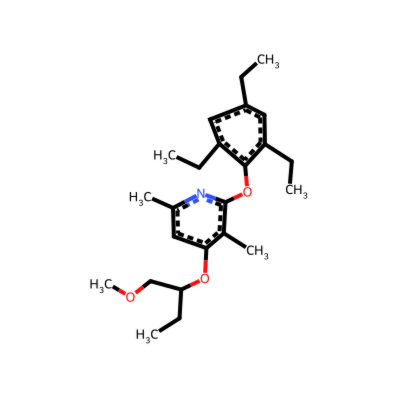 CCc1cc(CC)c(Oc2nc(C)cc(OC(CC)COC)c2C)c(CC)c1